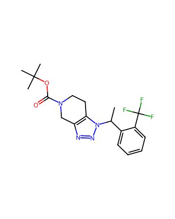 CC(c1ccccc1C(F)(F)F)n1nnc2c1CCN(C(=O)OC(C)(C)C)C2